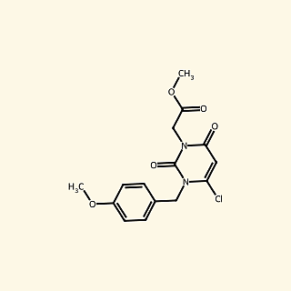 COC(=O)Cn1c(=O)cc(Cl)n(Cc2ccc(OC)cc2)c1=O